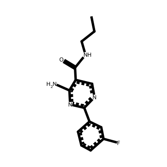 CCCNC(=O)c1cnc(-c2cccc(F)c2)nc1N